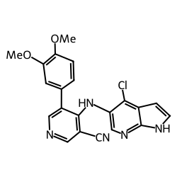 COc1ccc(-c2cncc(C#N)c2Nc2cnc3[nH]ccc3c2Cl)cc1OC